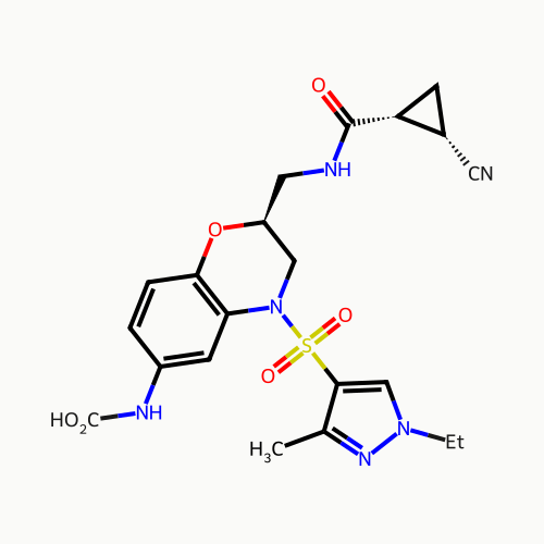 CCn1cc(S(=O)(=O)N2C[C@H](CNC(=O)[C@@H]3C[C@@H]3C#N)Oc3ccc(NC(=O)O)cc32)c(C)n1